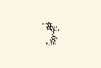 Nc1nc2cc(CCC3=CC(n4ncc5c(N)ncnc54)C(O)C3O)cc(F)c2cc1Cl